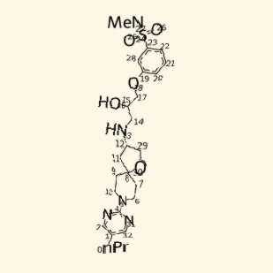 CCCc1cnc(N2CCC3(CC2)CC(NCC(O)COc2cccc(S(=O)(=O)NC)c2)CO3)nc1